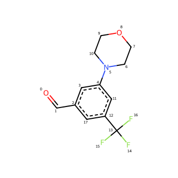 O=Cc1cc(N2CCOCC2)cc(C(F)(F)F)c1